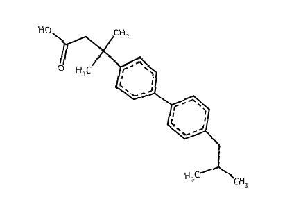 CC(C)Cc1ccc(-c2ccc(C(C)(C)CC(=O)O)cc2)cc1